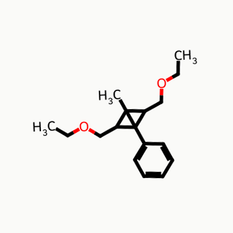 CCOCC1C2(C)C(COCC)C12c1ccccc1